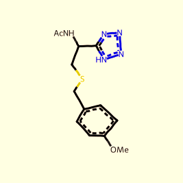 COc1ccc(CSCC(NC(C)=O)c2nnn[nH]2)cc1